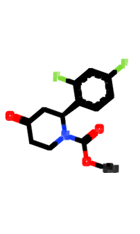 CC(C)(C)OC(=O)N1CCC(=O)C[C@H]1c1ccc(F)cc1F